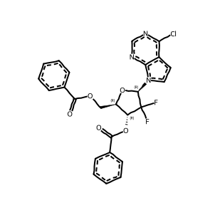 O=C(OC[C@H]1O[C@@H](n2ccc3c(Cl)ncnc32)C(F)(F)[C@@H]1OC(=O)c1ccccc1)c1ccccc1